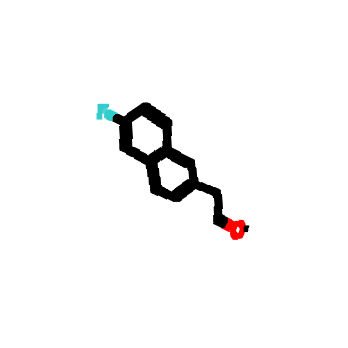 [O]CCc1ccc2cc(F)ccc2c1